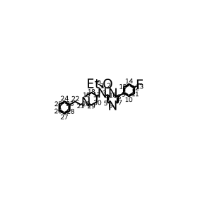 CCC(=O)N(c1cncc(-c2ccc(F)cc2)n1)C1CCN(CCc2ccccc2)CC1